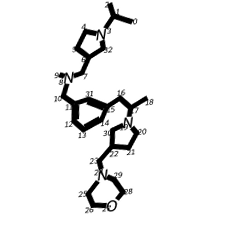 CC(C)N1CCC(CN(C)Cc2cccc(CC(C)N3CCC(CN4CCOCC4)C3)c2)C1